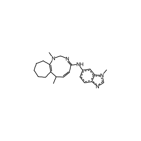 CC1/C=C\C(Nc2ccc3ncn(C)c3c2)=N/CN(C)C2=C1CCCCC2